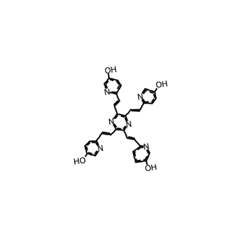 Oc1ccc(C=Cc2nc(C=Cc3ccc(O)cn3)c(C=Cc3ccc(O)cn3)nc2C=Cc2ccc(O)cn2)nc1